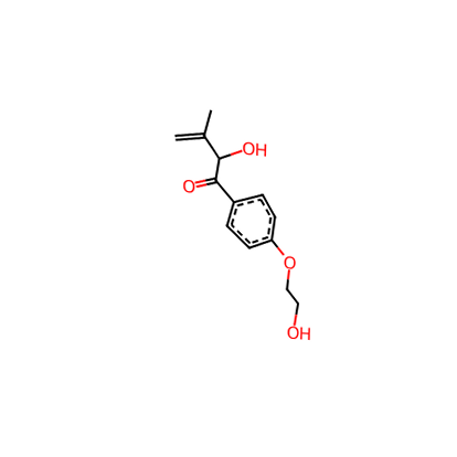 C=C(C)C(O)C(=O)c1ccc(OCCO)cc1